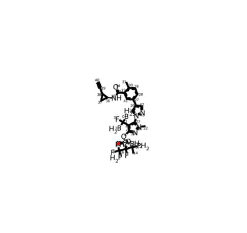 BC(B)(F)c1c(OS(=O)(=O)C(F)(C(B)(C)P)C(F)(P)P)nn(C)c1-n1cc(-c2ccc(C)c(C(=O)N[C@H]3CC3C#C)c2)cn1